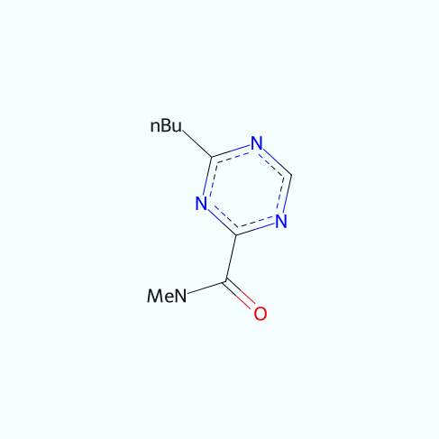 CCCCc1ncnc(C(=O)NC)n1